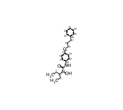 CCC(CC)N(O)C(=O)Nc1ccc(OCCCc2ccccc2)cc1